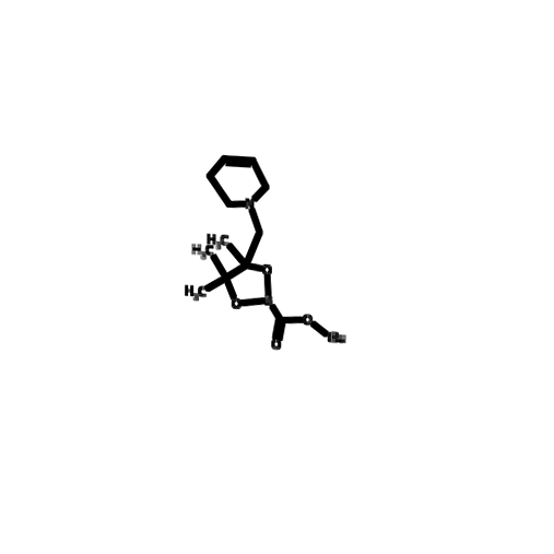 CC(C)(C)OC(=O)B1OC(C)(C)C(C)(CN2CC=CCC2)O1